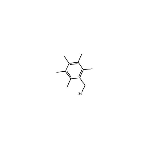 Cc1c(C)c(C)c(C[Se])c(C)c1C